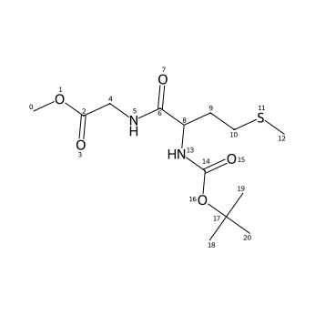 COC(=O)CNC(=O)C(CCSC)NC(=O)OC(C)(C)C